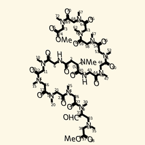 CN[C@@H](CC(=O)NCC(=O)N(C)CC(=O)N(C)CC(=O)N(C)CC(=O)N(C)CC(=O)N(C)C(C=O)CN(C)CC(=O)OC)C(=O)NCC(=O)N(C)CC(=O)N(C)CC(=O)N(C)CC(=O)N(C)CC(=O)N(C)CC(=O)N(C)CC(=O)OC